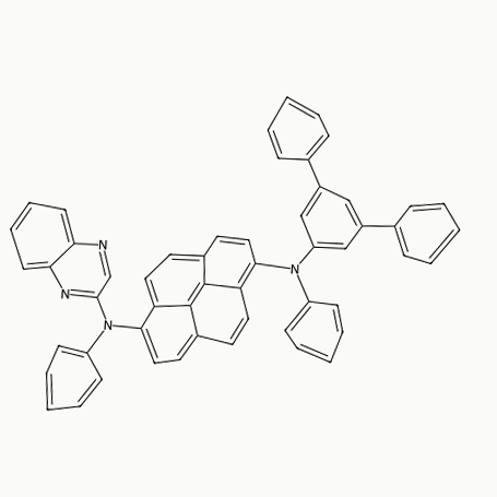 c1ccc(-c2cc(-c3ccccc3)cc(N(c3ccccc3)c3ccc4ccc5c(N(c6ccccc6)c6cnc7ccccc7n6)ccc6ccc3c4c65)c2)cc1